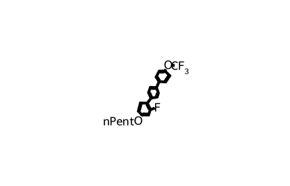 CCCCCOc1ccc(-c2ccc(-c3ccc(OC(F)(F)F)cc3)cc2)c(F)c1